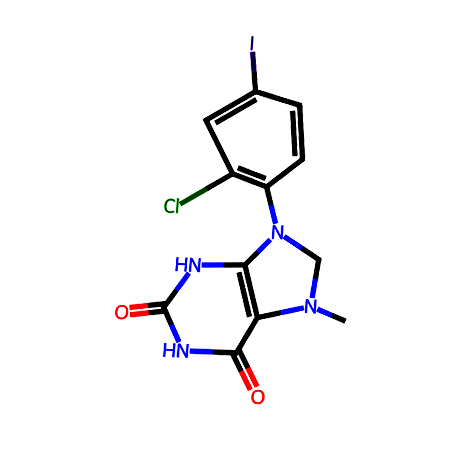 CN1CN(c2ccc(I)cc2Cl)c2[nH]c(=O)[nH]c(=O)c21